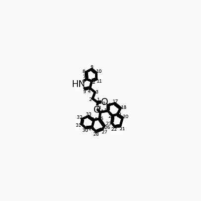 O=C(CCc1c[nH]c2ccccc12)OC(c1cccc2ccccc12)c1cccc2ccccc12